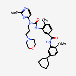 CNc1nccc(N(CCCN2CCOCC2)C(=O)Nc2cc(C(=O)Nc3cc(C4CCCCC4)ccc3OC)ccc2C)n1